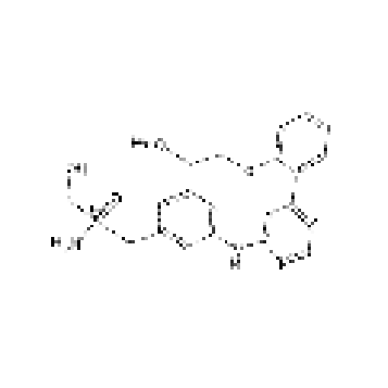 COCCOc1ccccc1-c1cc(Nc2cccc(C[SH](N)(=O)CO)c2)ncn1